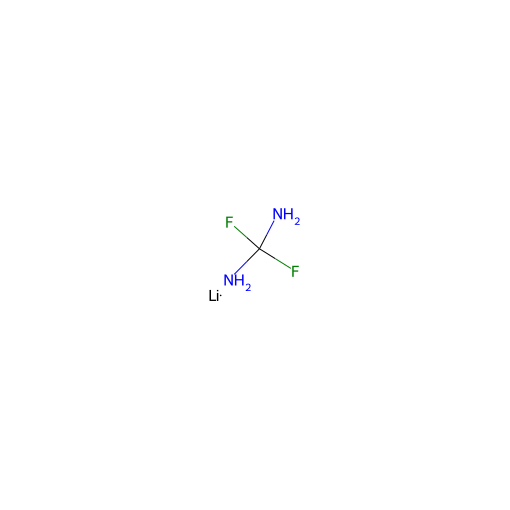 NC(N)(F)F.[Li]